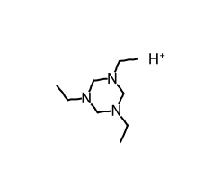 CCN1CN(CC)CN(CC)C1.[H+]